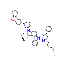 C#C/C=C\c1c(C)c2c3c4ccccc4n(-c4nc(C/C=C\C=C/CC)cc(-c5ccccc5)n4)c3ccc2n1-c1cccc(-c2ccc3oc4ccccc4c3c2)n1